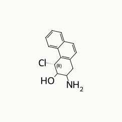 NC1Cc2ccc3ccccc3c2[C@@H](Cl)C1O